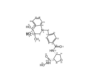 CC1(C)CN(Cc2ccc(C(=O)N[C@@H]3COC[C@@H]3C(=O)NO)cc2)c2ccccc2S1(O)O